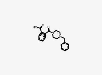 O=C(O)c1c(C(=O)N2CCN(Cc3ccccc3)CC2)c2ccc1o2